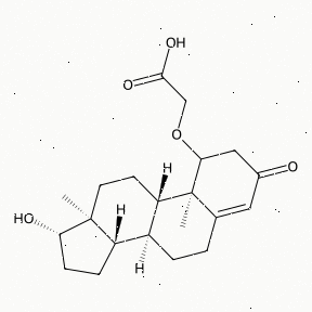 C[C@]12CC[C@H]3[C@@H](CCC4=CC(=O)CC(OCC(=O)O)[C@@]43C)[C@@H]1CC[C@@H]2O